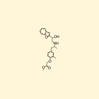 COC(=O)COc1ccc(CC(C)NCC(O)c2cc3ccccc3o2)cc1C